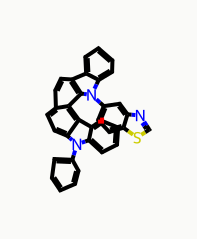 c1ccc(-n2c3ccccc3c3c4c(ccc5c6ccccc6n(-c6ccc7scnc7c6)c54)ccc32)cc1